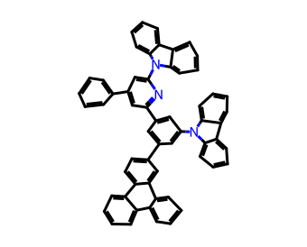 c1ccc(-c2cc(-c3cc(-c4ccc5c6ccccc6c6ccccc6c5c4)cc(-n4c5ccccc5c5ccccc54)c3)nc(-n3c4ccccc4c4ccccc43)c2)cc1